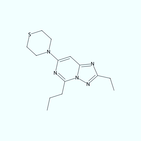 CCCc1nc(N2CCSCC2)cc2nc(CC)nn12